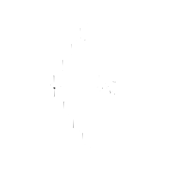 CCCCCCC[CH2][Sn+2][CH2]CCCCCCC.O=S(=O)([O-])[O-]